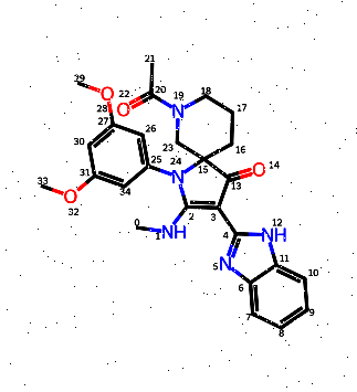 CNC1=C(c2nc3ccccc3[nH]2)C(=O)C2(CCCN(C(C)=O)C2)N1c1cc(OC)cc(OC)c1